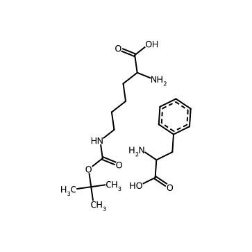 CC(C)(C)OC(=O)NCCCCC(N)C(=O)O.NC(Cc1ccccc1)C(=O)O